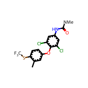 CNC(=O)Nc1cc(Cl)c(Oc2ccc(SC(F)(F)F)c(C)c2)c(Cl)c1